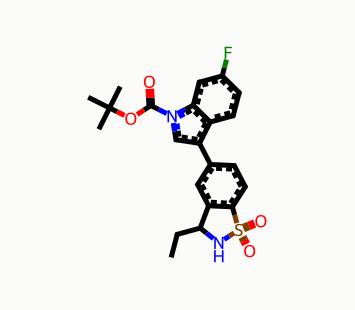 CCC1NS(=O)(=O)c2ccc(-c3cn(C(=O)OC(C)(C)C)c4cc(F)ccc34)cc21